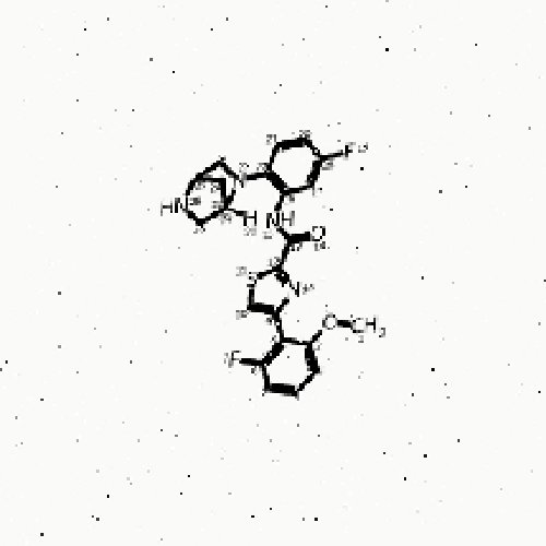 COc1cccc(F)c1-c1csc(C(=O)Nc2cc(F)ccc2N2CC3C[C@H]2CN3)n1